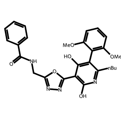 CCCCc1nc(O)c(-c2nnc(CNC(=O)c3ccccc3)o2)c(O)c1-c1c(OC)cccc1OC